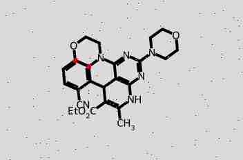 CCOC(=O)C1=C(C)Nc2nc(N3CCOCC3)nc(N3CCOCC3)c2C1c1ccccc1C#N